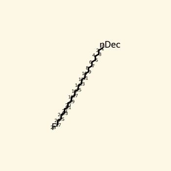 CCCCCCCCCCCCCCCCCCCCCCCCC[CH]CCCCCCCCCCCF